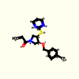 C=CC(=O)N1C[C@@H](OCc2ccc(C(F)(F)F)cc2)[C@H](Sc2ncccn2)C1